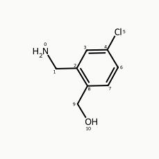 NCc1cc(Cl)ccc1CO